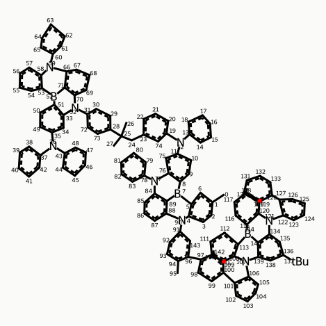 Cc1ccc2c(c1)B1c3ccc(N(c4ccccc4)c4cccc(CC(C)(C)c5ccc(N6c7cc(N(c8ccccc8)c8ccccc8)ccc7B7c8ccccc8N(c8ccccc8)c8cccc6c87)cc5)c4)cc3N(c3ccccc3)c3cccc(c31)N2c1ccc(C)c(-c2ccc(-c3ccccc3N3c4ccccc4B4c5ccccc5N(c5ccccc5-c5ccccc5)c5cc(C(C)(C)C)cc3c54)cc2)c1